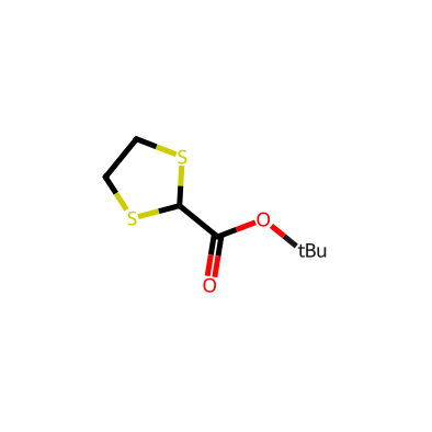 CC(C)(C)OC(=O)C1SCCS1